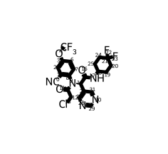 N#Cc1cc(OC(F)(F)F)ccc1N(C(=O)CCl)[C@H](C(=O)NC1CCC(F)(F)CC1)c1cncnc1